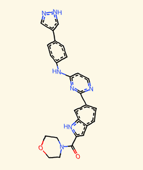 O=C(c1cc2ccc(-c3nccc(Nc4ccc(-c5cn[nH]c5)cc4)n3)cc2[nH]1)N1CCOCC1